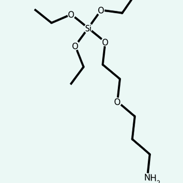 CCO[Si](OCC)(OCC)OCCOCCCN